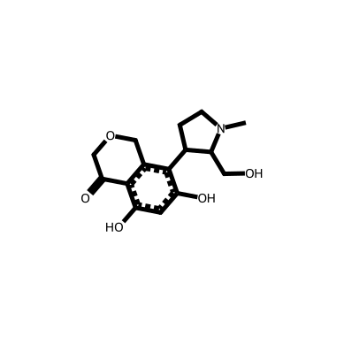 CN1CCC(c2c(O)cc(O)c3c2COCC3=O)C1CO